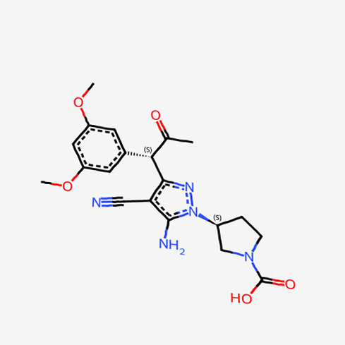 COc1cc(OC)cc([C@H](C(C)=O)c2nn([C@H]3CCN(C(=O)O)C3)c(N)c2C#N)c1